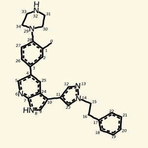 Cc1cc(-c2cnc3[nH]cc(-c4cnn(CCc5ccccc5)c4)c3c2)ccc1N1CCNCC1